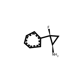 N[C@@H]1C[C@@]1(F)c1ccccc1